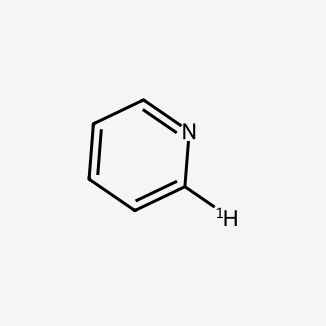 [1H]c1ccccn1